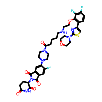 O=C1CCC(N2C(=O)c3cc(F)c(N4CCN(C(=O)CCCCNCCOc5c(-c6csc(N7CCOCC7)n6)ccc(F)c5F)CC4)cc3C2=O)C(=O)N1